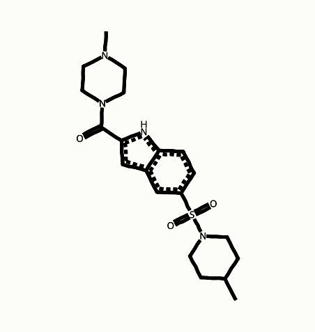 CC1CCN(S(=O)(=O)c2ccc3[nH]c(C(=O)N4CCN(C)CC4)cc3c2)CC1